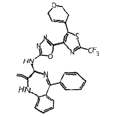 C=C1Nc2ccccc2C(c2ccccc2)=N[C@@H]1Nc1nnc(-c2nc(C(F)(F)F)sc2C2=CCOCC2)o1